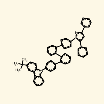 CC(C)(C)c1ccc2c(c1)c1ccccc1n2-c1ccc(-c2ccccc2-c2ccccc2-c2ccc(-n3nc(-c4ccccc4)cc3-c3ccccc3)cc2)cc1